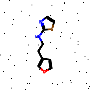 [c]1occc1CCNc1nccs1